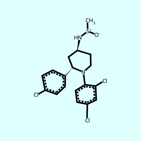 C[S+]([O-])N[C@H]1CCN(c2ccc(Cl)cc2Cl)[C@H](c2ccc(Cl)cc2)C1